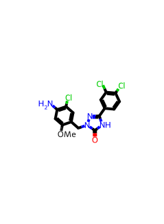 COc1cc(N)c(Cl)cc1Cn1nc(-c2ccc(Cl)c(Cl)c2)[nH]c1=O